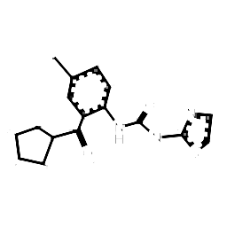 Cc1ccc(NC(=O)Nc2nccs2)c(C(=O)C2CCCC2)c1